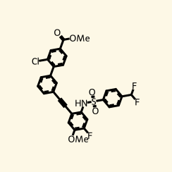 COC(=O)c1ccc(-c2cccc(C#Cc3cc(OC)c(F)cc3NS(=O)(=O)c3ccc(C(F)F)cc3)c2)c(Cl)c1